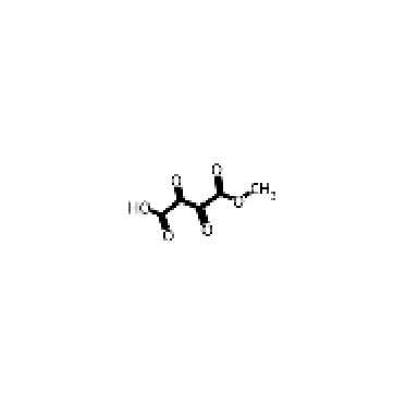 COC(=O)C(=O)C(=O)C(=O)O